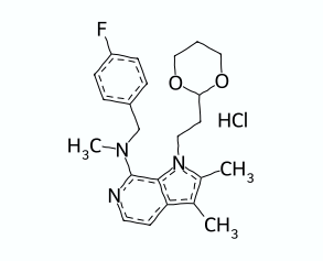 Cc1c(C)n(CCC2OCCCO2)c2c(N(C)Cc3ccc(F)cc3)nccc12.Cl